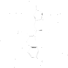 O=C(O)C(Cc1ccc(O)cc1)N[C@@H](Cc1c[nH]cn1)C(=O)O